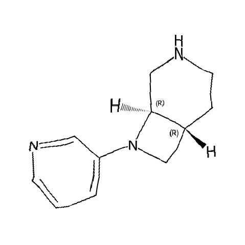 c1cncc(N2C[C@H]3CCNC[C@@H]32)c1